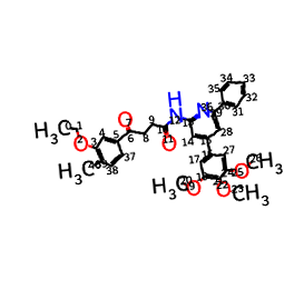 CCOc1cc(C(=O)CCC(=O)Nc2cc(-c3cc(OC)c(OC)c(OC)c3)cc(-c3ccccc3)n2)ccc1C